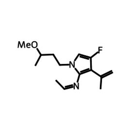 C=C(C)c1c(F)cn(CCC(C)OC)c1/N=C\C